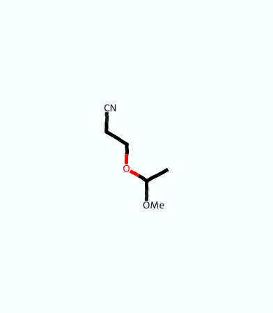 COC(C)OCCC#N